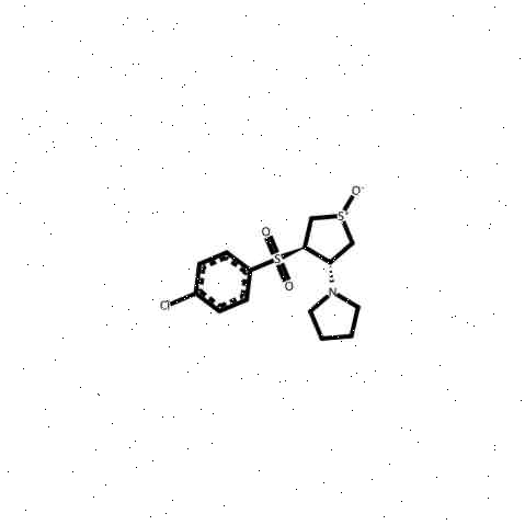 O=S(=O)(c1ccc(Cl)cc1)[C@H]1C[S+]([O-])C[C@@H]1N1CCCC1